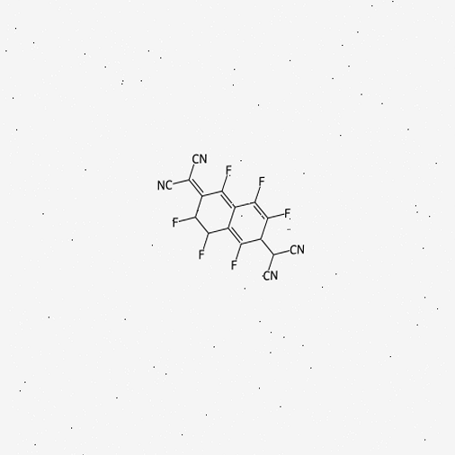 N#CC(C#N)=C1C(F)=C2C(F)=C(F)C(C(C#N)C#N)C(F)=C2C(F)C1F